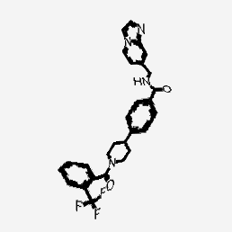 O=C(NCc1ccn2ccnc2c1)c1ccc(C2CCN(C(=O)c3ccccc3C(F)(F)F)CC2)cc1